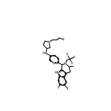 CC1Cc2c([nH]c3cc(F)c(F)cc23)C(c2ccc(NC3CCN(CCCF)C3)cn2)N1CC(F)(F)F